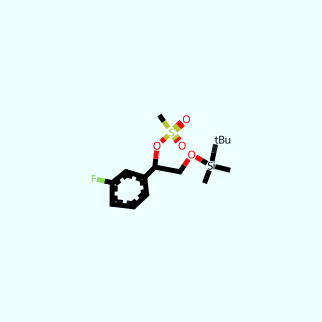 CC(C)(C)[Si](C)(C)OCC(OS(C)(=O)=O)c1cccc(F)c1